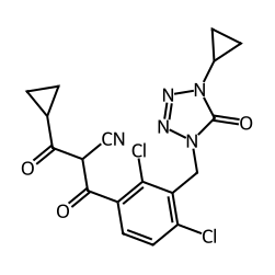 N#CC(C(=O)c1ccc(Cl)c(Cn2nnn(C3CC3)c2=O)c1Cl)C(=O)C1CC1